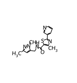 Cc1cc(CNC(=O)c2sc(-c3cccnc3)nc2C)n(C)n1